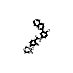 O=C(Nc1ccc(Cl)c(-c2ccc3cnccc3n2)c1)c1ccc(N2COCCS2(=O)=O)cc1Cl